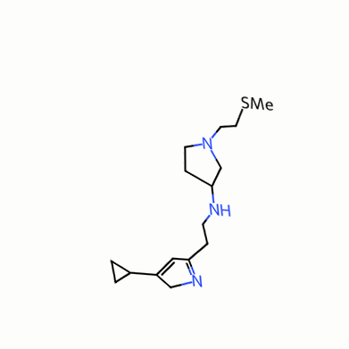 CSCCN1CCC(NCCC2=NCC(C3CC3)=C2)C1